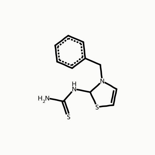 NC(=S)NC1SC=CN1Cc1ccccc1